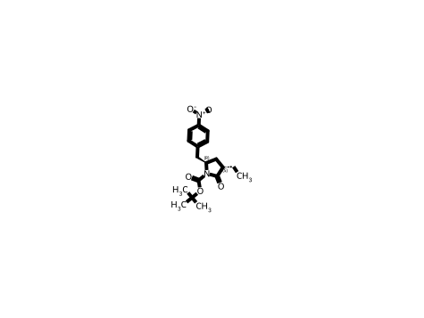 CC[C@H]1C[C@H](Cc2ccc([N+](=O)[O-])cc2)N(C(=O)OC(C)(C)C)C1=O